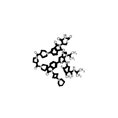 Cc1cc(F)c(Nc2nc(-c3ccc4c(c3)N(C3CC(N5CCCCC5)C3)C(=O)C43CCN(C(=O)C4CCN(C(=O)C5CCN(c6ccc7c(c6)C(=O)N(C6CCC(=O)NC6=O)C7=O)CC5)C4)CC3)cc3ncn(C(C)C)c23)cc1C(=O)NC(C)C